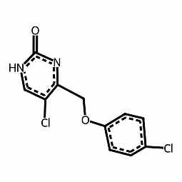 O=c1nc(COc2ccc(Cl)cc2)c(Cl)c[nH]1